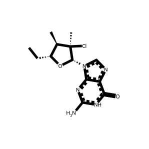 CC[C@H]1O[C@@H](n2cnc3c(=O)[nH]c(N)nc32)[C@](C)(Cl)[C@@H]1C